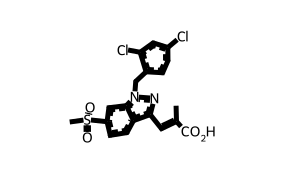 CC(=Cc1nn(Cc2ccc(Cl)cc2Cl)c2cc(S(C)(=O)=O)ccc12)C(=O)O